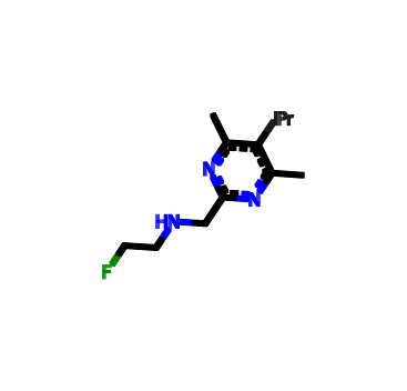 Cc1nc(CNCCF)nc(C)c1C(C)C